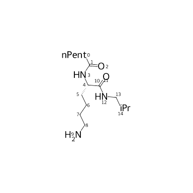 CCCCCC(=O)N[C@@H](CCCCN)C(=O)NCC(C)C